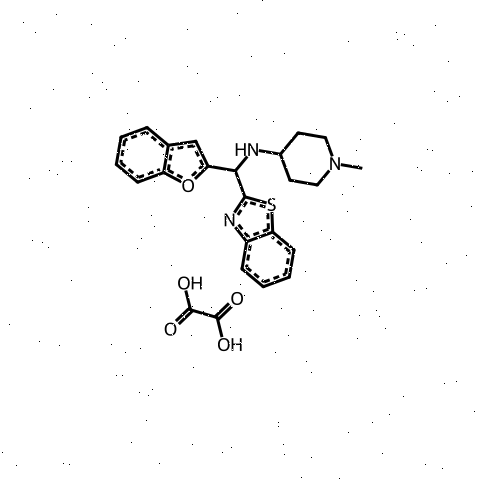 CN1CCC(NC(c2cc3ccccc3o2)c2nc3ccccc3s2)CC1.O=C(O)C(=O)O